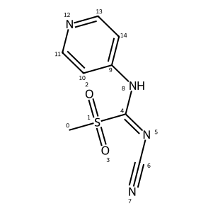 CS(=O)(=O)/C(=N\C#N)Nc1ccncc1